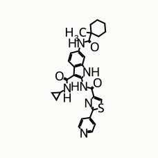 CC1(C(=O)Nc2ccc3c(C(=O)NC4CC4)c(NC(=O)c4csc(-c5ccncc5)n4)[nH]c3c2)CCCCC1